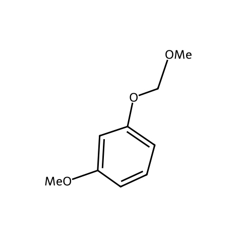 COCOc1cccc(OC)c1